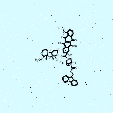 COc1cccc2c1C(=O)c1c(O)c3c(c(O)c1C2=O)C[C@@](O)(C(=O)N1C[C@@H]2C[C@H]1CN2C(=O)OCC1c2ccccc2-c2ccccc21)C[C@@H]3O[C@H]1C[C@H]2[C@H](O[C@@H]3[C@@H](OC)OCCN32)[C@H](C)O1